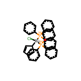 [Cl][Ru]([CH]1C=CC=C1)([PH](c1ccccc1)(c1ccccc1)c1ccccc1)[PH](c1ccccc1)(c1ccccc1)c1ccccc1